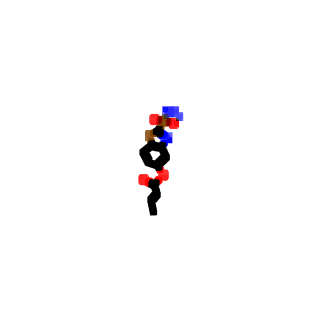 CC=CC(=O)Oc1ccc2sc(S(N)(=O)=O)nc2c1